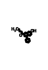 CCCCC(=O)c1cc(-c2ccccc2)c2ccc(O)cc2c1